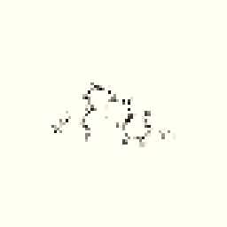 N#CCC(=O)c1cccc(Oc2cccc(C(F)(F)F)c2)c1